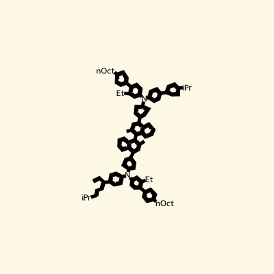 C=C/C(=C\C=C\C(C)C)c1ccc(N(c2ccc(-c3cc(C)c(-c4c(C)cc(-c5ccc(N(c6ccc(-c7ccc(C(C)C)cc7)cc6)c6ccc(-c7ccc(CCCCCCCC)cc7)c(CC)c6)cc5)c5ccccc45)c4ccccc34)cc2)c2ccc(-c3ccc(CCCCCCCC)cc3)c(CC)c2)cc1